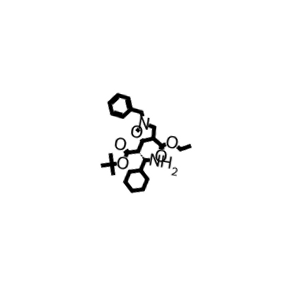 CCOC(=O)C1CN(Cc2ccccc2)OC1[C@@H](C(=O)OC(C)(C)C)C(N)C1CCCCC1